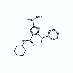 CNC(=O)c1cc(C(=O)NC2CCOCC2)n(C(C)c2ccccc2)n1